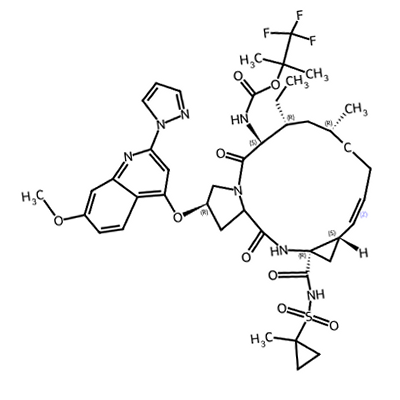 CC[C@@H]1C[C@H](C)CC/C=C\[C@@H]2C[C@@]2(C(=O)NS(=O)(=O)C2(C)CC2)NC(=O)C2C[C@@H](Oc3cc(-n4cccn4)nc4cc(OC)ccc34)CN2C(=O)[C@H]1NC(=O)OC(C)(C)C(F)(F)F